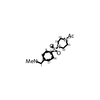 CNCc1ccc(S(=O)(=O)N2CCN(C(C)=O)CC2)cc1